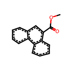 COC(=O)c1cc2ccccc2c2ccccc12